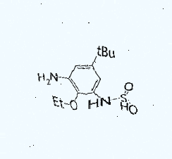 CCOc1c(N)cc(C(C)(C)C)cc1N[SH](=O)=O